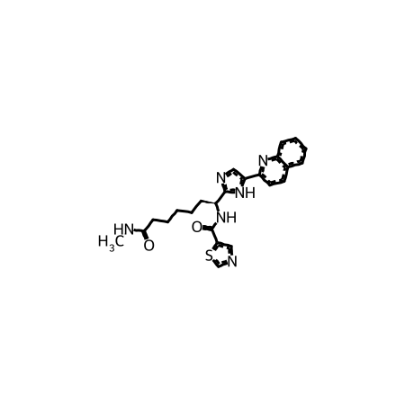 CNC(=O)CCCCC[C@H](NC(=O)c1cncs1)c1ncc(-c2ccc3ccccc3n2)[nH]1